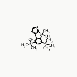 C[Si](C)(C)c1sc([Si](C)(C)C)c2c1-c1ccsc1[Si]2(C)C